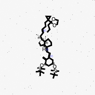 C=C1/C(=C\C=C2/CCC[C@]3(C)[C@@H]([C@H](C)/C=C/CCC4(C5(CCC)OCCO5)CC4)CC[C@@H]23)C[C@@H](O[Si](C)(C)C(C)(C)C)C[C@@H]1O[Si](C)(C)C(C)(C)C